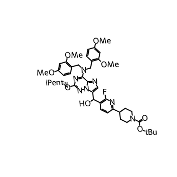 CCC[C@H](C)Oc1nc(N(Cc2ccc(OC)cc2OC)Cc2ccc(OC)cc2OC)c2ncc(C(O)c3ccc(C4CCN(C(=O)OC(C)(C)C)CC4)nc3F)n2n1